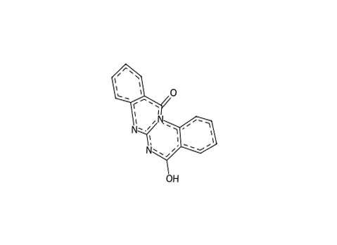 O=c1c2ccccc2nc2nc(O)c3ccccc3n12